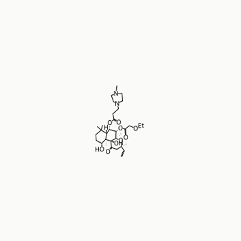 C=C[C@@]1(C)CC(=O)[C@]2(O)[C@@]3(C)[C@@H](O)CCC(C)(C)[C@@H]3[C@H](OC(=O)CCN3CCN(C)CC3)[C@H](OC(=O)COCC)[C@@]2(C)O1